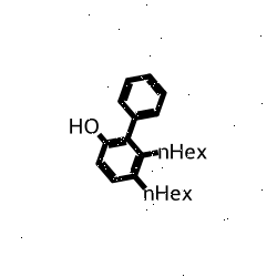 CCCCCCc1ccc(O)c(-c2ccccc2)c1CCCCCC